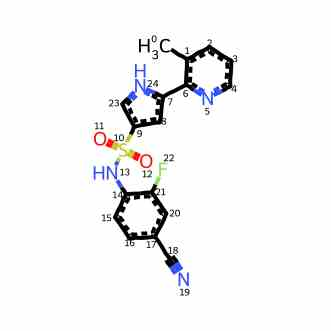 Cc1cccnc1-c1cc(S(=O)(=O)Nc2ccc(C#N)cc2F)c[nH]1